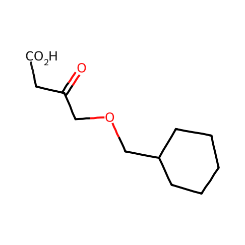 O=C(O)CC(=O)COCC1CCCCC1